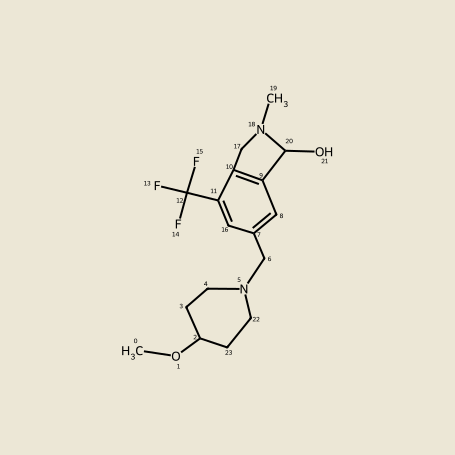 COC1CCN(Cc2cc3c(c(C(F)(F)F)c2)CN(C)C3O)CC1